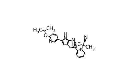 CC(C)Oc1ccc(-c2cc3cc(C4=CC=CCN4C(C)(C)C#N)cnc3[nH]2)cn1